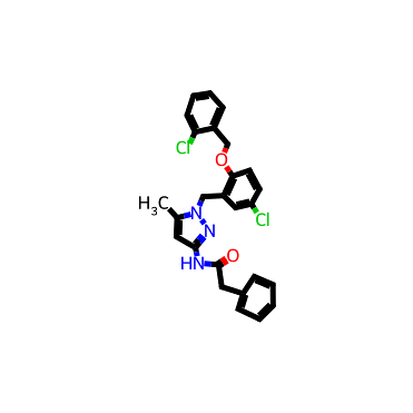 Cc1cc(NC(=O)Cc2ccccc2)nn1Cc1cc(Cl)ccc1OCc1ccccc1Cl